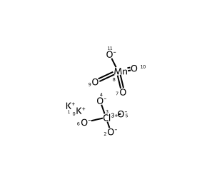 [K+].[K+].[O-][Cl+3]([O-])([O-])[O-].[O]=[Mn](=[O])(=[O])[O-]